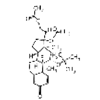 CC(=O)OCC(=O)[C@@]1(OC(C)=O)CC[C@H]2[C@@H]3CCC4=CC(=O)C=C[C@]4(C)[C@@]3(F)[C@@H](O[Si](C)(C)C)C[C@@]21C